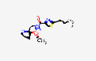 CCCc1nc(C(=O)NCc2ncccc2OC)cs1